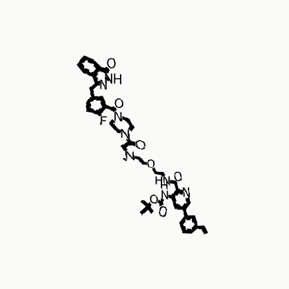 CCc1cccc(-c2cnc(C(=O)NCCOCCN(C)CC(=O)N3CCN(C(=O)c4cc(Cc5n[nH]c(=O)c6ccccc56)ccc4F)CC3)c(NC(=O)OC(C)(C)C)c2)c1